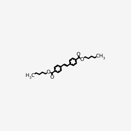 CCCCCOC(=O)c1ccc(/C=C/c2ccc(C(=O)OCCCCC)cc2)cc1